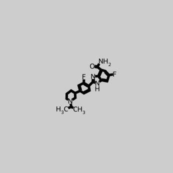 CC(C)N1CCCC(c2ccc(-c3nc4c(C(N)=O)cc(F)cc4[nH]3)c(F)c2)C1